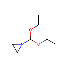 CCOC(OCC)N1CC1